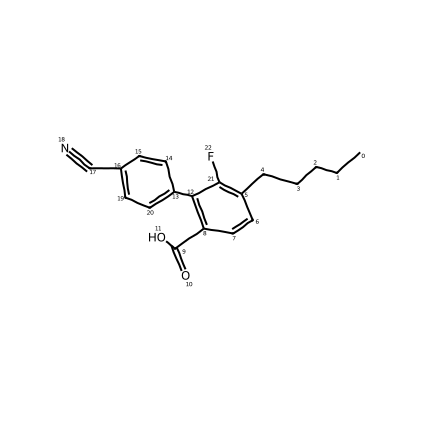 CCCCCc1ccc(C(=O)O)c(-c2ccc(C#N)cc2)c1F